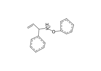 C=CC([SiH2]Oc1ccccc1)c1ccccc1